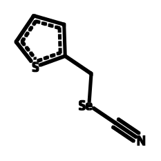 N#C[Se]Cc1cccs1